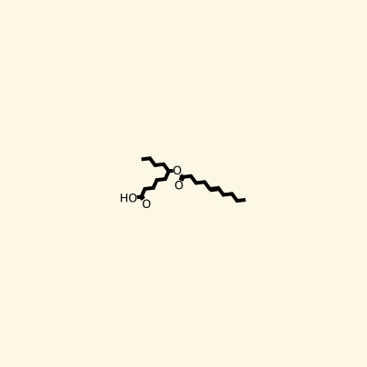 CCCCC=CCCCC(=O)OC(CCCC)CCCCC(=O)O